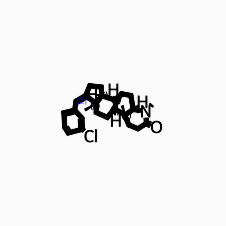 CN1C(=O)CC[C@]2(C)[C@H]3CC[C@]4(C)/C(=C\c5cccc(Cl)c5)CC[C@H]4[C@@H]3CC[C@@H]12